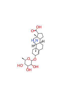 C[C@H]1O[C@@H](OC2C=C3CC[C@@H]4[C@@H](CC[C@]5(C)C(C(=O)O)CC[C@@]45N)[C@@]3(C)CC2)[C@@H](O)[C@@H](O)[C@@H]1O